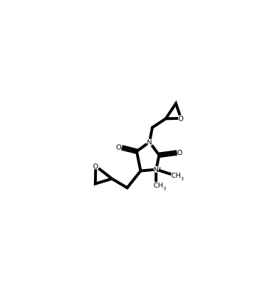 C[N+]1(C)C(=O)N(CC2CO2)C(=O)C1CC1CO1